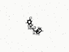 O=C(Nc1nc2cc(Cl)ccc2o1)NC1C2CC3CC(C2)CC1C3